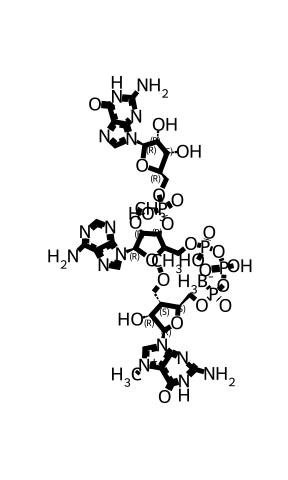 [BH3-]P(=O)(OC[C@H]1O[C@@H](n2c[n+](C)c3c(=O)[nH]c(N)nc32)[C@H](O)[C@@H]1COC)OP(=O)(O)OP(=O)(O)OCC1O[C@@H](n2cnc3c(N)ncnc32)[C@H](OC)[C@@H]1OP(=O)(O)OC[C@H]1O[C@@H](n2cnc3c(=O)[nH]c(N)nc32)[C@H](O)[C@@H]1O